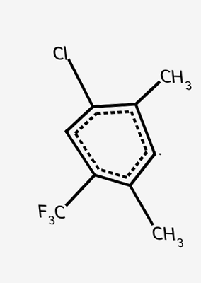 Cc1[c]c(C)c(C(F)(F)F)cc1Cl